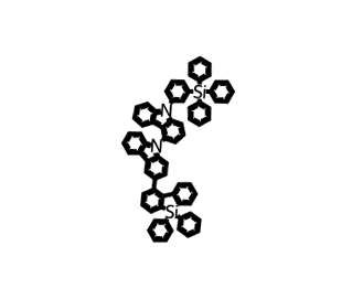 c1ccc([Si](c2ccccc2)(c2ccccc2)c2cccc(-n3c4ccccc4c4c(-n5c6ccccc6c6cc(-c7cccc8c7-c7ccccc7[Si]8(c7ccccc7)c7ccccc7)ccc65)cccc43)c2)cc1